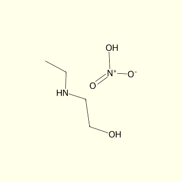 CCNCCO.O=[N+]([O-])O